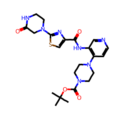 CC(C)(C)OC(=O)N1CCN(c2ccncc2NC(=O)c2csc(N3CCNC(=O)C3)n2)CC1